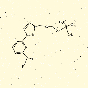 C[Si](C)(C)CCOCn1ccc(-c2cccc(C(F)F)n2)n1